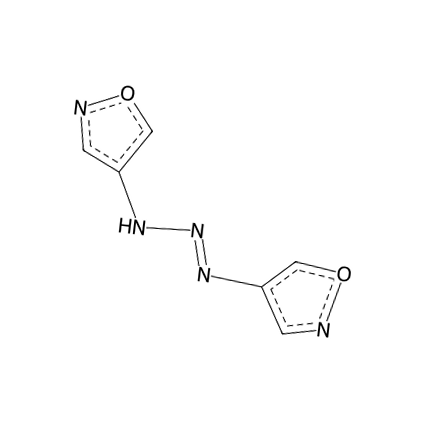 c1nocc1N=NNc1cnoc1